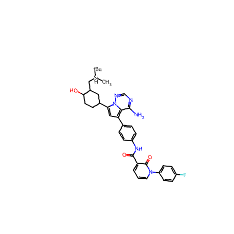 C[SiH](CC1CC(c2cc(-c3ccc(NC(=O)c4cccn(-c5ccc(F)cc5)c4=O)cc3)c3c(N)ncnn23)CCC1O)C(C)(C)C